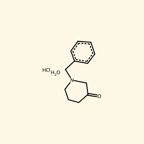 Cl.O.O=C1CCCN(Cc2ccccc2)C1